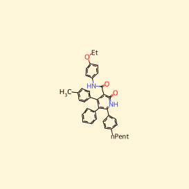 CCCCCc1ccc(-c2[nH]c(=O)c(C(=O)Nc3ccc(OCC)cc3)c(-c3ccc(C)cc3)c2-c2ccccc2)cc1